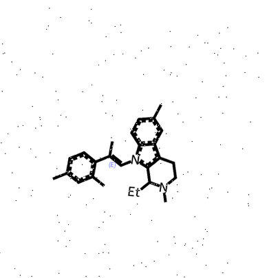 CCC1c2c(c3cc(C)ccc3n2/C=C(\C)c2ccc(C)cc2C)CCN1C